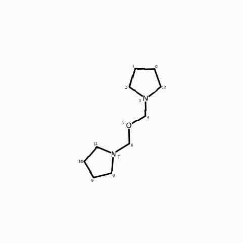 C1CCN(COCN2CCCC2)C1